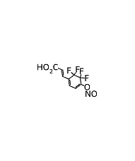 O=NOC1=CC=C(/C=C/C(=O)O)C(F)(F)C1(F)F